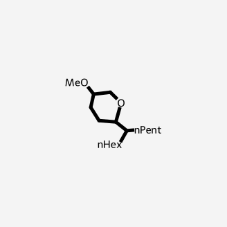 CCCCCCC(CCCCC)C1CCC(OC)CO1